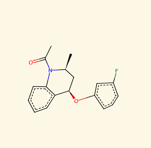 CC(=O)N1c2ccccc2[C@H](Oc2cccc(F)c2)C[C@@H]1C